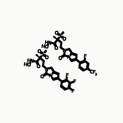 C[C@@](CCN1Cc2cc(-c3ccc(C(F)(F)F)cc3F)cn2C1=O)(C(=O)NO)S(C)(=O)=O.C[C@@](CCN1Cc2cc(-c3ccc(F)c(F)c3F)cn2C1=O)(C(=O)NO)S(C)(=O)=O